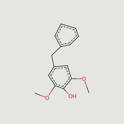 COc1cc(Cc2ccccc2)cc(OC)c1O